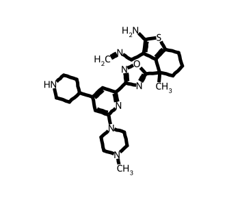 C=NCc1c(N)sc2c1C(C)(c1nc(-c3cc(C4CCNCC4)cc(N4CCN(C)CC4)n3)no1)CCC2